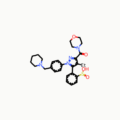 CCc1c(C(=O)N2CCOCC2)nn(-c2ccc(CN3CCCCC3)cc2)c1-c1ccccc1S(=O)O